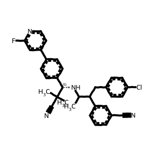 CC(N[C@@H](c1ccc(-c2ccnc(F)c2)cc1)C(C)(C)C#N)C(Cc1ccc(Cl)cc1)c1cccc(C#N)c1